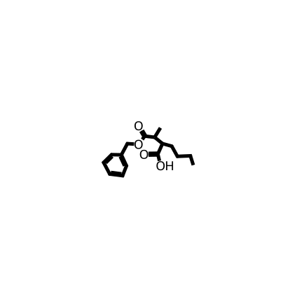 CCCCC(C(=O)O)C(C)C(=O)OCc1ccccc1